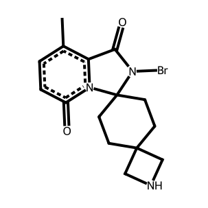 Cc1ccc(=O)n2c1C(=O)N(Br)C21CCC2(CC1)CNC2